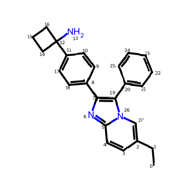 CCc1ccc2nc(-c3ccc(C4(N)CCC4)cc3)c(-c3ccccc3)n2c1